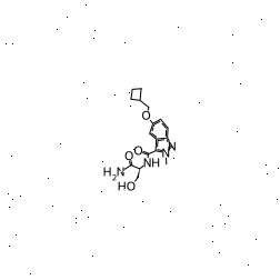 Cn1nc2ccc(OCC3CCC3)cc2c1C(=O)N[C@@H](CO)C(N)=O